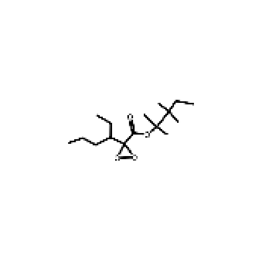 CCCC(CC)C1(C(=O)OC(C)(C)C(C)(C)CC)OO1